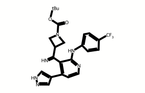 CC(C)(C)OC(=O)N1CC(C(=N)c2c(-c3cn[nH]c3)ccnc2Nc2ccc(C(F)(F)F)cc2)C1